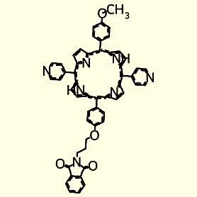 COc1ccc(-c2c3nc(c(-c4ccncc4)c4ccc([nH]4)c(-c4ccc(OCCCN5C(=O)c6ccccc6C5=O)cc4)c4nc(c(-c5ccncc5)c5ccc2[nH]5)C=C4)C=C3)cc1